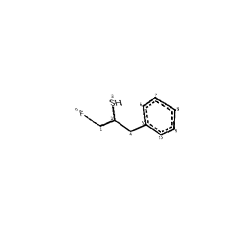 FCC(S)Cc1ccccc1